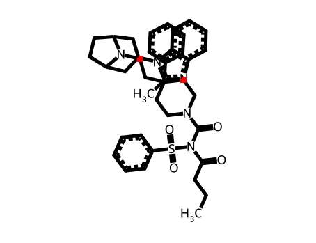 CCCC(=O)N(C(=O)N1CCC(CCN2C3CCC2CC(n2c(C)nc4ccccc42)C3)(c2ccccc2)CC1)S(=O)(=O)c1ccccc1